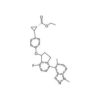 CCOC(=O)[C@H]1CC1c1ccc(OC2CCc3c(-c4c(C)ccc5c4cnn5C)ccc(F)c32)cc1